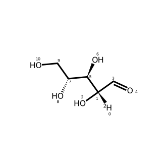 [2H][C@](O)(C=O)[C@H](O)[C@H](O)CO